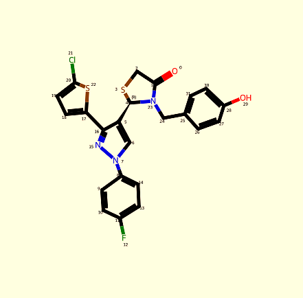 O=C1CS[C@H](c2cn(-c3ccc(F)cc3)nc2-c2ccc(Cl)s2)N1Cc1ccc(O)cc1